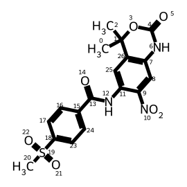 CC1(C)OC(=O)Nc2cc([N+](=O)[O-])c(NC(=O)c3ccc(S(C)(=O)=O)cc3)cc21